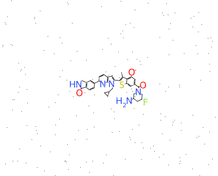 COc1cc(C(=O)N2C[C@H](N)C[C@@H](F)C2)cc2sc(-c3cc4ccc(-c5ccc6c(c5)CNC6=O)nc4n3CC3CC3)c(C)c12